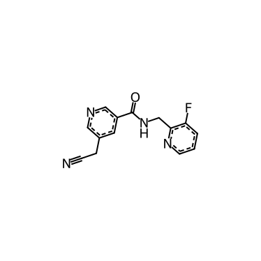 N#CCc1cncc(C(=O)NCc2ncccc2F)c1